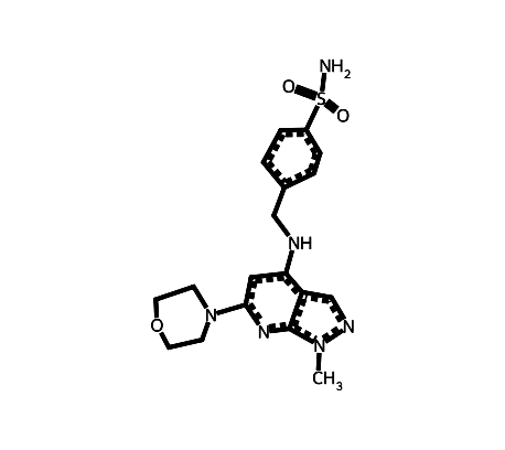 Cn1ncc2c(NCc3ccc(S(N)(=O)=O)cc3)cc(N3CCOCC3)nc21